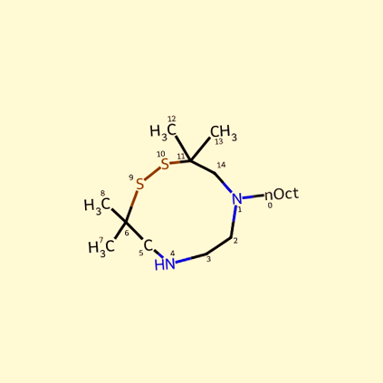 CCCCCCCCN1CCNCC(C)(C)SSC(C)(C)C1